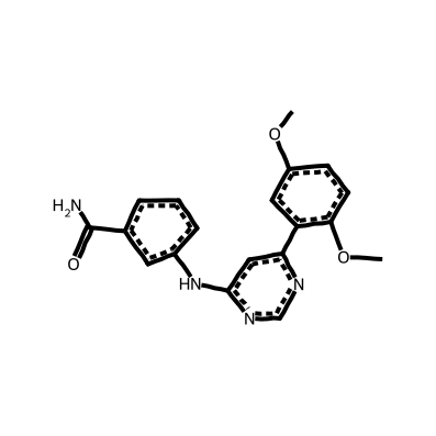 COc1ccc(OC)c(-c2cc(Nc3cccc(C(N)=O)c3)ncn2)c1